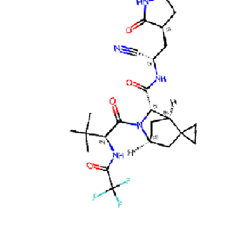 CC(C)(C)[C@H](NC(=O)C(F)(F)F)C(=O)N1[C@H]2C[C@@H]([C@H]1C(=O)N[C@H](C#N)C[C@@H]1CCNC1=O)C1(CC1)C2